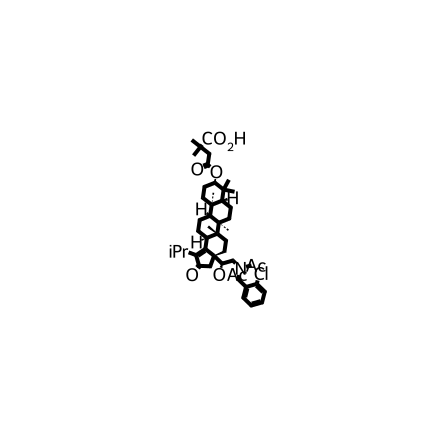 CC(=O)O[C@H](CN(Cc1ccccc1Cl)C(C)=O)[C@@]12CC[C@]3(C)[C@H](CC[C@@H]4[C@@]5(C)CC[C@H](OC(=O)CC(C)(C)C(=O)O)C(C)(C)[C@@H]5CC[C@]43C)C1=C(C(C)C)C(=O)C2